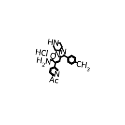 CC(=O)c1ccc(C(=CC2=NC3(CCNCC3)N=C2c2ccc(C)cc2)C(N)=O)cn1.Cl